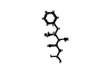 CC(C)OC(=O)C(O)[C@@H](N)Cc1ccccc1